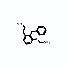 COCOc1cccc(OCOC)c1Cc1ccccc1